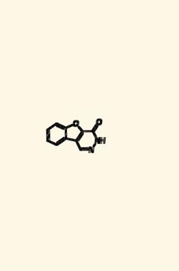 O=c1[nH]ncc2c1oc1ccccc12